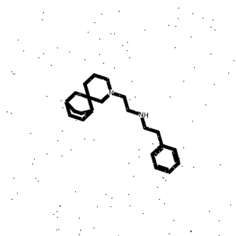 c1ccc(CCNCCN2CCCC3(CC4CCC3CC4)C2)cc1